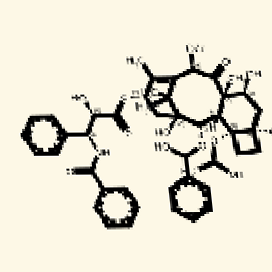 CC(=O)O[C@H]1C(=O)[C@@]2(C)[C@H]([C@H](OC(O)c3ccccc3)[C@]3(O)C[C@H](OC(=O)[C@H](O)[C@@H](NC(=O)c4ccccc4)c4ccccc4)C(C)=C1C3(C)C)[C@]1(OC(C)O)CC[C@@H]1C[C@@H]2O